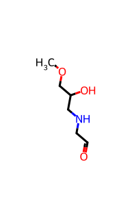 COCC(O)CNCC=O